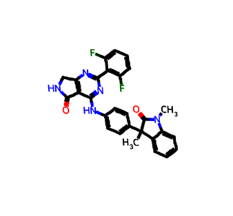 CN1C(=O)C(C)(c2ccc(Nc3nc(-c4c(F)cccc4F)nc4c3C(=O)NC4)cc2)c2ccccc21